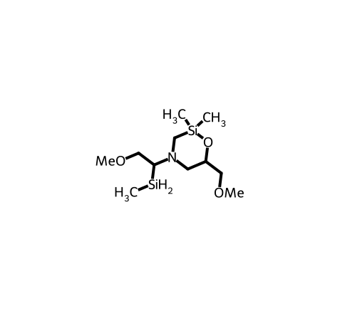 COCC1CN(C(COC)[SiH2]C)C[Si](C)(C)O1